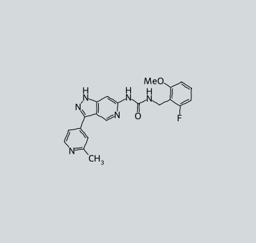 COc1cccc(F)c1CNC(=O)Nc1cc2[nH]nc(-c3ccnc(C)c3)c2cn1